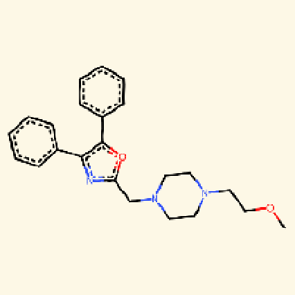 COCCN1CCN(Cc2nc(-c3ccccc3)c(-c3ccccc3)o2)CC1